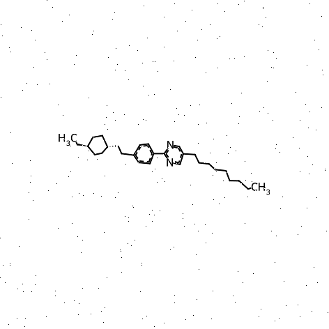 CCCCCCCCCc1cnc(-c2ccc(CC[C@H]3CC[C@H](CC)CC3)cc2)nc1